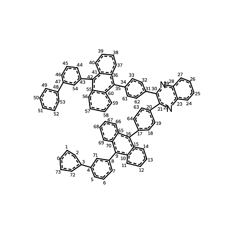 c1ccc(-c2cccc(-c3c4ccccc4c(-c4ccc(-c5nc6ccccc6nc5-c5ccc(-c6c7ccccc7c(-c7cccc(-c8ccccc8)c7)c7ccccc67)cc5)cc4)c4ccccc34)c2)cc1